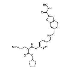 CSCCC(NCc1ccc(CNCc2ccc3cc(C(=O)NO)sc3c2)cc1)C(=O)OC1CCCC1